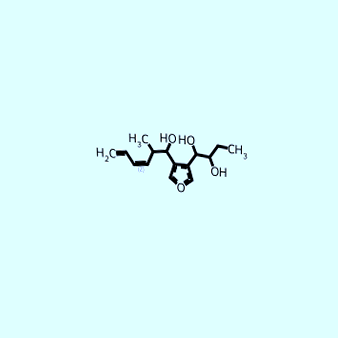 C=C/C=C\C(C)C(O)c1cocc1C(O)C(O)CC